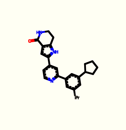 CC(C)c1cc(-c2cc(-c3cc4c([nH]3)CCNC4=O)ccn2)cc(C2CCCC2)c1